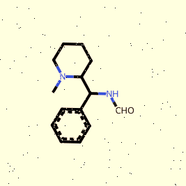 CN1CCCCC1C(NC=O)c1ccccc1